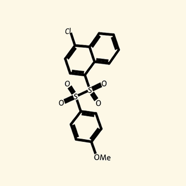 COc1ccc(S(=O)(=O)S(=O)(=O)c2ccc(Cl)c3ccccc23)cc1